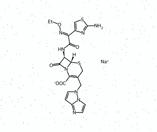 CCON=C(C(=O)N[C@@H]1C(=O)N2C(C(=O)[O-])=C(Cn3ccc4nccn43)CS[C@@H]12)c1csc(N)n1.[Na+]